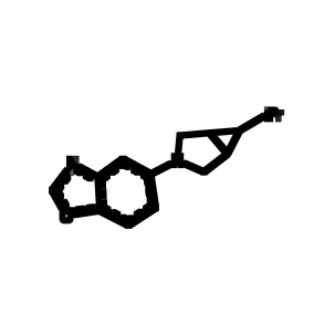 CC(C)C1C2CN(c3ccc4ocnc4c3)CC21